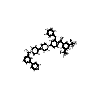 O=C(c1cccc(-c2ccncc2)c1)N1CCC(N2CCN(C3CCN(C(=O)c4cc(C(F)(F)F)cc(C(F)(F)F)c4)C(Cc4ccccc4)C3)CC2)CC1